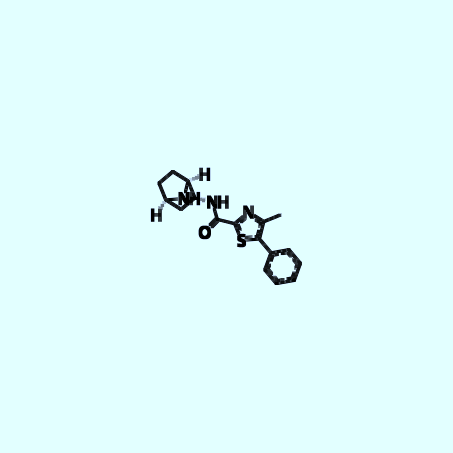 Cc1nc(C(=O)N[C@@H]2C[C@H]3CC[C@@H]2N3)sc1-c1ccccc1